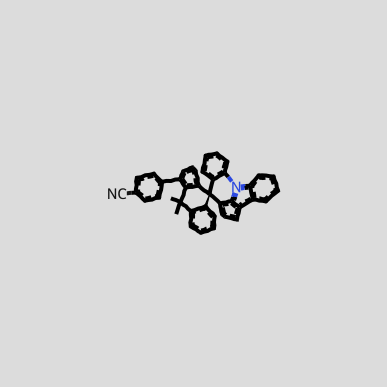 CC1(C)c2ccccc2[C@]2(c3ccccc3-n3c4ccccc4c4cccc2c43)c2cccc(-c3ccc(C#N)cc3)c21